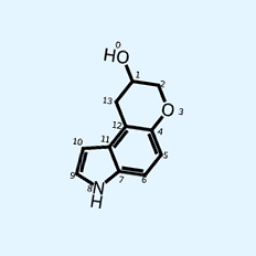 OC1COc2ccc3[nH]ccc3c2C1